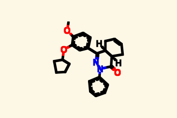 COc1ccc(C2=NN(c3ccccc3)C(=O)[C@H]3CC=CC[C@@H]23)cc1OC1CCCC1